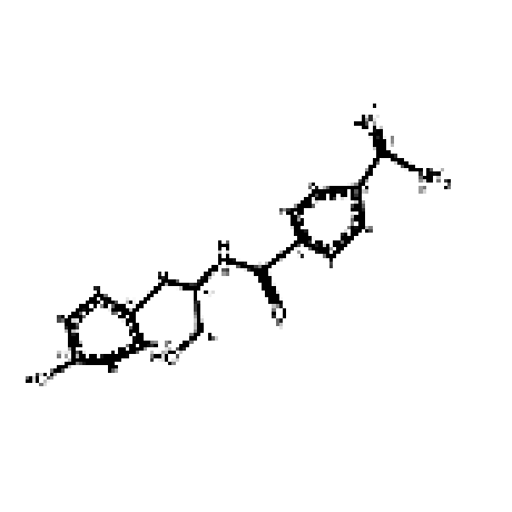 N=C(N)c1ccc(C(=O)N[C@@H](CO)Cc2ccc([O])cc2)cc1